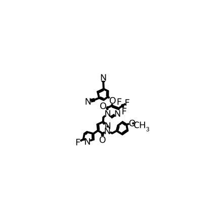 COc1ccc(Cn2nc(Cn3cnc(C(F)(F)F)c(Oc4cc(C#N)cc(C#N)c4)c3=O)cc(-c3ccc(F)nc3)c2=O)cc1